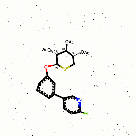 CC(=O)O[C@@H]1[C@@H](OC(C)=O)[C@H](OC(C)=O)CS[C@H]1Oc1cccc(-c2ccc(F)nc2)c1